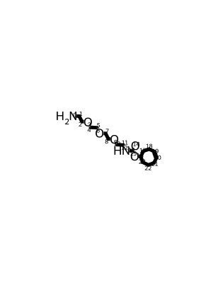 NCCOCCOCCOCCNC(=O)OC1CC/C=C\CCC1